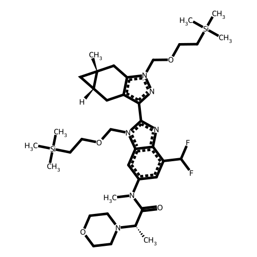 C[C@@H](C(=O)N(C)c1cc(C(F)F)c2nc(-c3nn(COCC[Si](C)(C)C)c4c3C[C@@H]3C[C@]3(C)C4)n(COCC[Si](C)(C)C)c2c1)N1CCOCC1